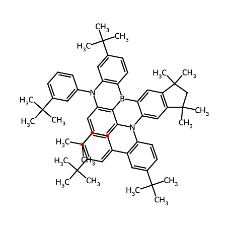 CC(C)c1cc2c3c(c1)N(c1ccc(C(C)(C)C)cc1-c1cccc(C(C)(C)C)c1)c1cc4c(cc1B3c1ccc(C(C)(C)C)cc1N2c1cccc(C(C)(C)C)c1)C(C)(C)CC4(C)C